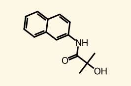 CC(C)(O)C(=O)Nc1ccc2ccccc2c1